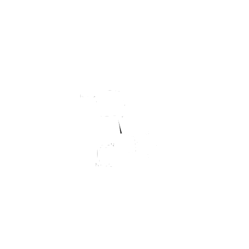 O[C@@H]1CCC[C@@H](C2c3sccc3-c3cncn32)C1